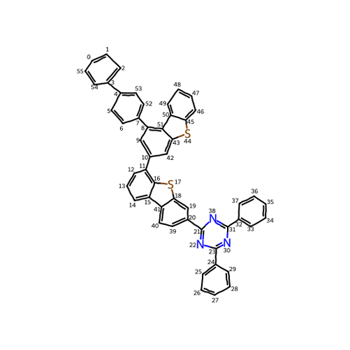 c1ccc(-c2ccc(-c3cc(-c4cccc5c4sc4cc(-c6nc(-c7ccccc7)nc(-c7ccccc7)n6)ccc45)cc4sc5ccccc5c34)cc2)cc1